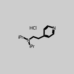 CC(C)N(CCc1ccncc1)C(C)C.Cl